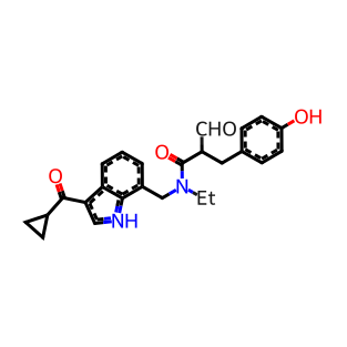 CCN(Cc1cccc2c(C(=O)C3CC3)c[nH]c12)C(=O)C(C=O)Cc1ccc(O)cc1